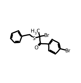 CC(Br)(SCc1ccccc1)C(=O)c1ccc(Br)cc1